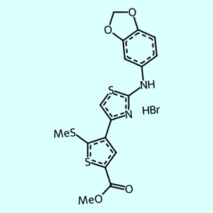 Br.COC(=O)c1cc(-c2csc(Nc3ccc4c(c3)OCO4)n2)c(SC)s1